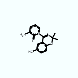 CC1(C)N=C(n2cccc(N)c2=O)c2cc(C#N)ccc2O1